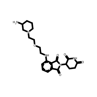 NC1CCCN(CCOCCNc2cccc3c2C(=O)N(C2CCC(=O)NC2=O)C3=O)C1